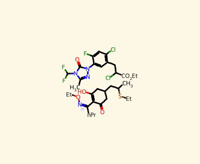 CCC/C(=N/OCC)C1=C(O)CC(CC(C)SCC)CC1=O.CCOC(=O)C(Cl)Cc1cc(-n2nc(C)n(C(F)F)c2=O)c(F)cc1Cl